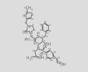 Cc1nc(CN2CCN([C@H](C(=O)N[C@@H](Cc3ccccc3)[C@@H](O)CN(CC(C)O)S(=O)(=O)c3ccc(C=NO)cc3)C(C)C)C2=O)cs1